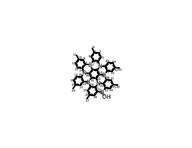 Cc1ccc2c(c1)B1c3cc(C)ccc3N3c4ccc(C)cc4B4c5cc(C)cc6c5N5c7c(cc(C)cc7B7c8cc(C)ccc8N2c2c1c3c4c5c27)B6O